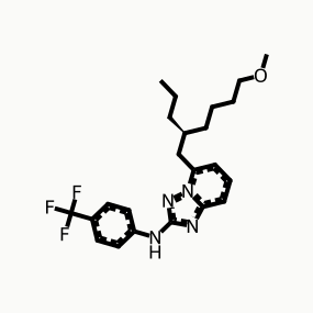 CCC[C@@H](CCCCOC)Cc1cccc2nc(Nc3ccc(C(F)(F)F)cc3)nn12